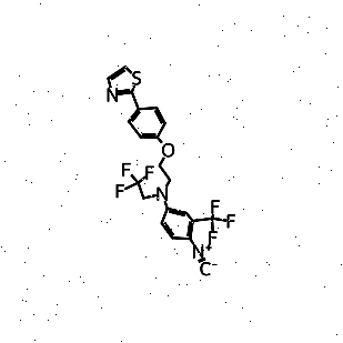 [C-]#[N+]c1ccc(N(CCOc2ccc(-c3nccs3)cc2)CC(F)(F)F)cc1C(F)(F)F